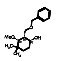 CO[C@@H]1[C@H](COCc2ccccc2)[C@H](O)CCC1(C)C